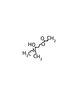 C=CC(=O)OCCC(O)N(CC)CC